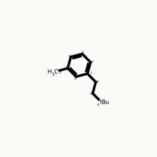 Cc1cccc(CCC(C)(C)C)c1